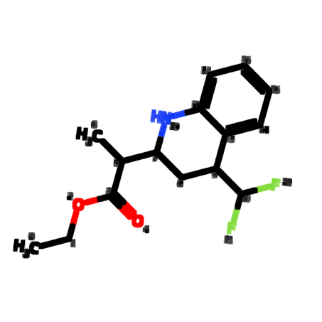 CCOC(=O)C(C)C1CC(C(F)F)c2ccccc2N1